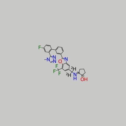 [2H]C([2H])(N[C@@H]1CCC[C@@H]1O)c1cc(C(F)(F)F)c2oc(-c3cccc(-c4ccc(F)cc4-c4nncn4C)c3)nc2c1